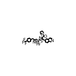 N[C@@H](CNc1nc(C(=O)N2CCCC2)c(-c2ccc3cnccc3c2)s1)Cc1ccc(C(F)(F)F)cc1